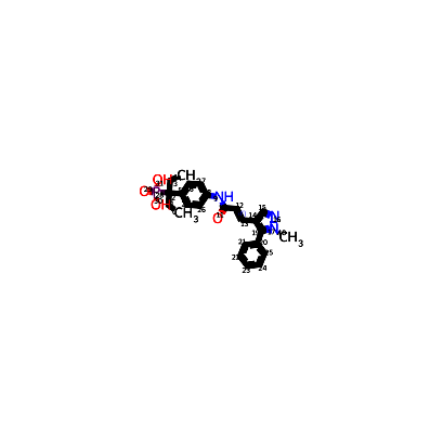 CCC(CC)(c1ccc(NC(=O)/C=C/c2cnn(C)c2-c2ccccc2)cc1)P(=O)(O)O